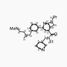 CCN(Cc1cccnc1)C(=O)c1cc(-c2cccc(CN(C)CCNC)c2)nc2c1CN2C(C)C